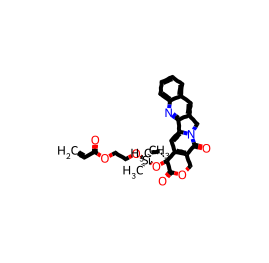 C=CC(=O)OCCO[Si](C)(C)O[C@]1(CC)C(=O)OCc2c1cc1n(c2=O)Cc2cc3ccccc3nc2-1